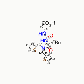 CCCC[C@H](NC(=O)NCCC(=O)O)C(=O)N(Cc1cccs1)Cc1cccs1